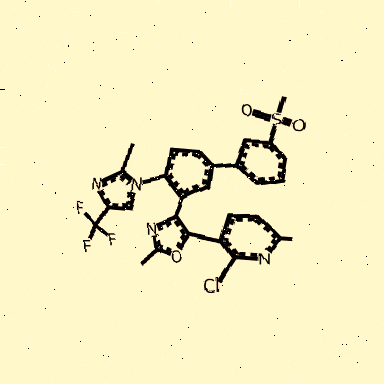 Cc1ccc(-c2oc(C)nc2-c2cc(-c3cccc(S(C)(=O)=O)c3)ccc2-n2cc(C(F)(F)F)nc2C)c(Cl)n1